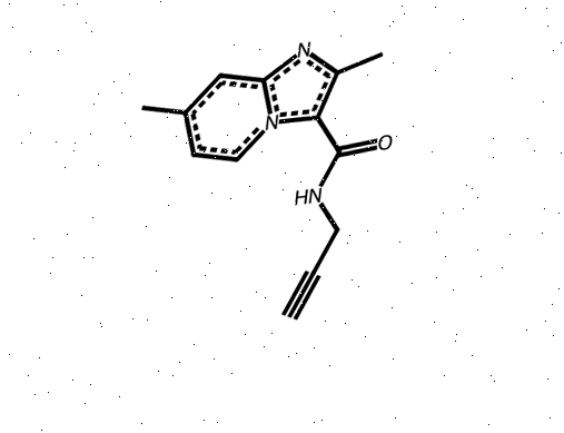 C#CCNC(=O)c1c(C)nc2cc(C)ccn12